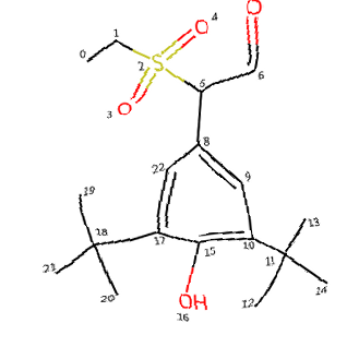 CCS(=O)(=O)C(C=O)c1cc(C(C)(C)C)c(O)c(C(C)(C)C)c1